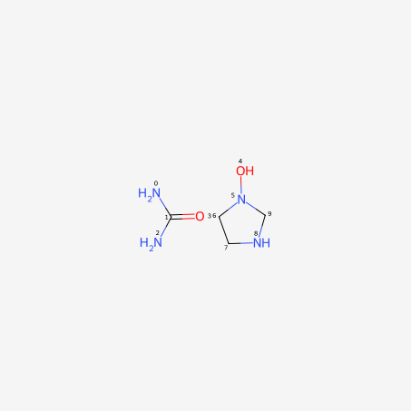 NC(N)=O.ON1CCNC1